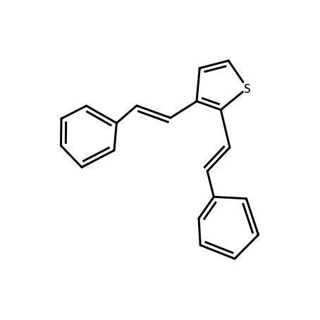 C(=C\c1ccsc1/C=C/c1ccccc1)/c1ccccc1